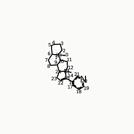 C[C@]12CCCCC1CCC1C2CC[C@]2(C)C(c3cccnc3)=CCC12